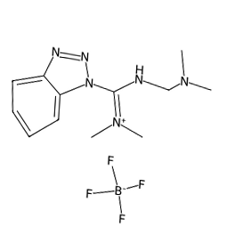 CN(C)CNC(n1nnc2ccccc21)=[N+](C)C.F[B-](F)(F)F